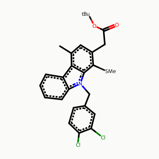 CSc1c(CC(=O)OC(C)(C)C)cc(C)c2c3ccccc3n(Cc3ccc(Cl)c(Cl)c3)c12